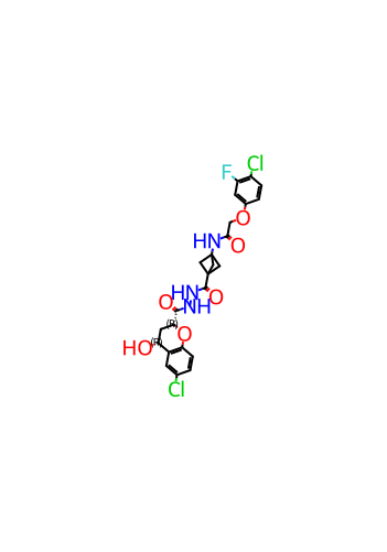 O=C(COc1ccc(Cl)c(F)c1)NC12CC(C(=O)NNC(=O)[C@H]3C[C@@H](O)c4cc(Cl)ccc4O3)(C1)C2